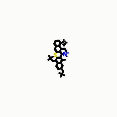 Cc1c2c(c(CC(C)(C)C)c3ccc(CC(C)(C)C)cc13)Sc1cc3cccc([Si](C)(C)C)c3c3cc[n+](C)c-2c13